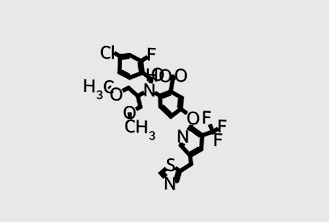 COCC(COC)N(C(=O)c1ccc(Cl)cc1F)c1ccc(Oc2ncc(Cc3cncs3)cc2C(F)(F)F)cc1C(=O)O